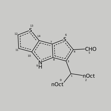 CCCCCCCCC(CCCCCCCC)c1c(C=O)sc2c1[nH]c1ccsc12